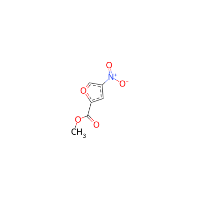 COC(=O)c1cc([N+](=O)[O-])co1